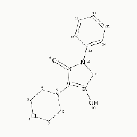 O=C1C(N2CCOCC2)=C(O)CN1c1ccccc1